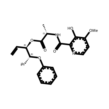 C=C[C@@H](OC(=O)[C@H](C)NC(=O)c1nccc(OC)c1O)[C@H](Oc1ccccc1)C(C)C